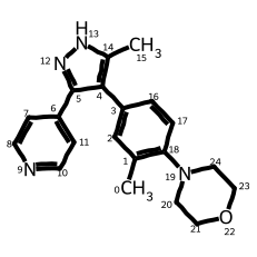 Cc1cc(-c2c(-c3ccncc3)n[nH]c2C)ccc1N1CCOCC1